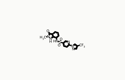 Cn1[nH]c2c(NS(=O)(=O)c3ccc(-n4cc(C(F)(F)F)cn4)nc3)cccc2c1=O